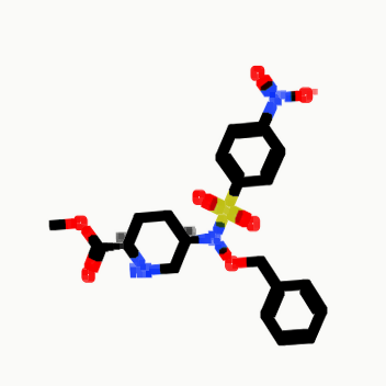 COC(=O)[C@@H]1CC[C@@H](N(OCc2ccccc2)S(=O)(=O)c2ccc([N+](=O)[O-])cc2)CN1